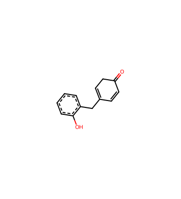 O=C1C=CC(Cc2ccccc2O)=CC1